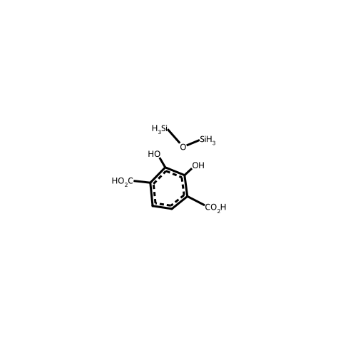 O=C(O)c1ccc(C(=O)O)c(O)c1O.[SiH3]O[SiH3]